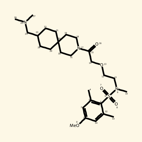 COc1cc(C)c(S(=O)(=O)N(C)CCOCC(=O)N2CCC3(CCC(CN(C)C)CC3)CC2)c(C)c1